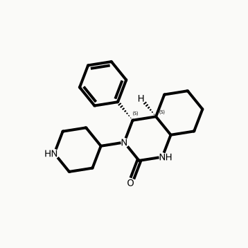 O=C1NC2CCCC[C@@H]2[C@@H](c2ccccc2)N1C1CCNCC1